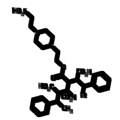 CCC(c1ccccc1)C(C(=O)O)C(C(=O)OCCN1CCN(CCS(=O)(=O)O)CC1)C(C(=O)O)C(C(=O)O)C(C)c1ccccc1